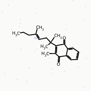 CCC/C(C)=C/CC(C)(C)C1=C(C)C(=O)c2ccccc2C1=O